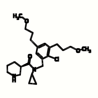 COCCCc1cc(CCCOC)c(Cl)c(CN(C(=O)[C@@H]2CCCNC2)C2CC2)c1